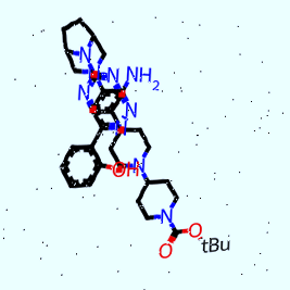 CC(C)(C)OC(=O)N1CCC(N2CCC(c3cnc(N4C5CCC4CN(c4cc(-c6ccccc6O)nnc4N)C5)nc3)CC2)CC1